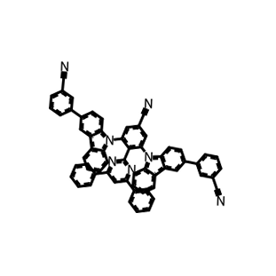 N#Cc1cccc(-c2ccc3c(c2)c2ccccc2n3-c2cc(C#N)cc(-n3c4ccccc4c4cc(-c5cccc(C#N)c5)ccc43)c2-c2nc(-c3ccccc3)cc(-c3ccccc3)n2)c1